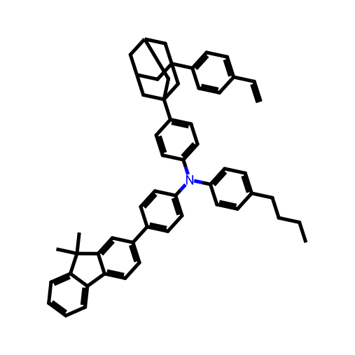 C=Cc1ccc(C23CC4CC(C2)CC(c2ccc(N(c5ccc(CCCC)cc5)c5ccc(-c6ccc7c(c6)C(C)(C)c6ccccc6-7)cc5)cc2)(C4)C3)cc1